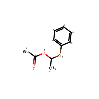 CC(OC(=O)C(C)(C)C)Sc1ccccc1